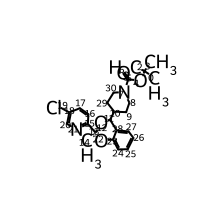 CC(C)(C)OC(=O)N1CCC(C2O[C@](C)(c3ccc(Cl)cn3)Oc3ccccc32)CC1